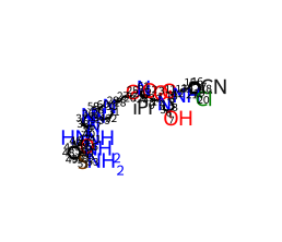 CC(C)C(C(=O)N1C[C@H](O)C[C@H]1C(=O)NCc1ccc(C#N)c(Cl)c1)c1cc(OCCCCN2CCCN(c3nccc(C(=N)NC(=O)[C@@]4(C)CCCc5sc(N)c(N)c54)n3)[C@@H](C)C2)no1